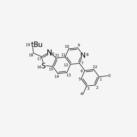 Cc1cc(C)cc(-c2nccc3c2ccc2sc(CC(C)(C)C)nc23)c1